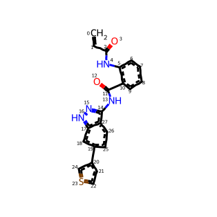 C=CC(=O)Nc1ccccc1C(=O)Nc1n[nH]c2cc(-c3ccsc3)ccc12